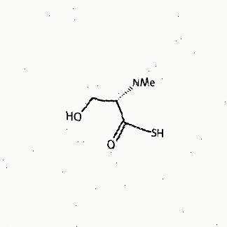 CN[C@@H](CO)C(=O)S